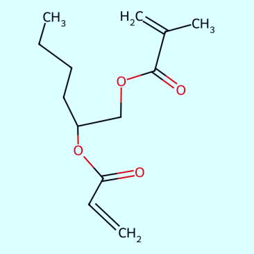 C=CC(=O)OC(CCCC)COC(=O)C(=C)C